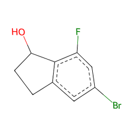 OC1CCc2cc(Br)cc(F)c21